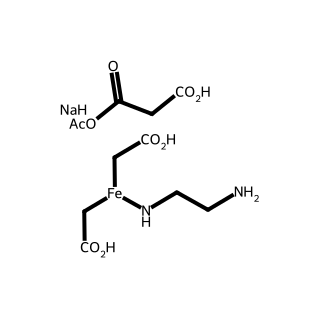 CC(=O)OC(=O)CC(=O)O.NCC[NH][Fe]([CH2]C(=O)O)[CH2]C(=O)O.[NaH]